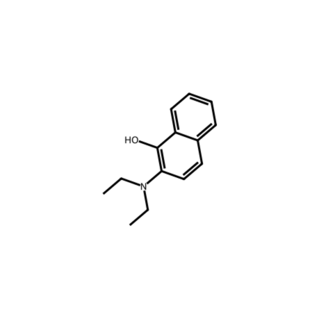 CCN(CC)c1ccc2ccccc2c1O